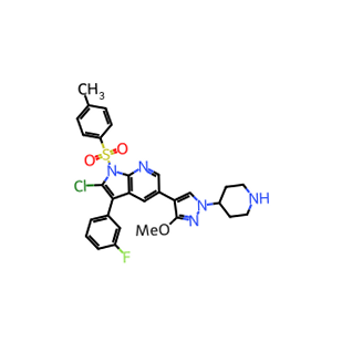 COc1nn(C2CCNCC2)cc1-c1cnc2c(c1)c(-c1cccc(F)c1)c(Cl)n2S(=O)(=O)c1ccc(C)cc1